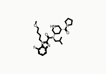 COCCCCn1c(C(=O)N(CC(C)C)[C@@H]2CNC[C@H](C(=O)N3CCCC3)C2)nc2cccc(F)c21